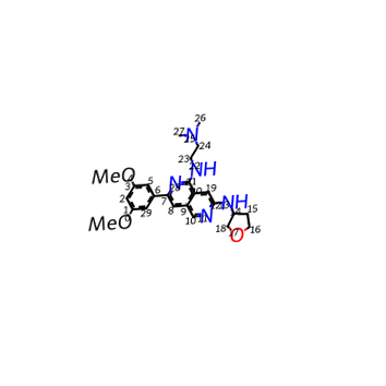 COc1cc(OC)cc(-c2cc3cnc(NC4CCOC4)cc3c(NCCN(C)C)n2)c1